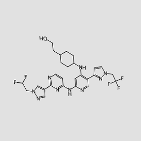 OCCC1CCC(Nc2cc(Nc3ccnc(-c4cnn(CC(F)F)c4)n3)ncc2-c2ccn(CC(F)(F)F)n2)CC1